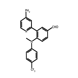 CN(c1ccc(C(F)(F)F)cc1)c1ccc(C=O)cc1-c1cc(P)ccn1